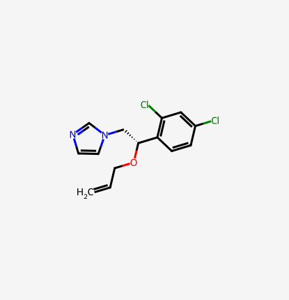 C=CCO[C@H](Cn1ccnc1)c1ccc(Cl)cc1Cl